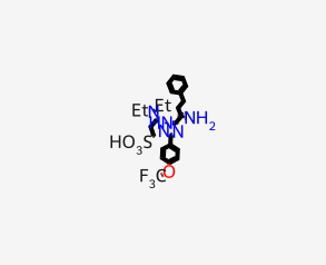 CCN(CC)CCCS(=O)(=O)O.N[C@H](CCc1ccccc1)c1nc(-c2ccc(OC(F)(F)F)cc2)n[nH]1